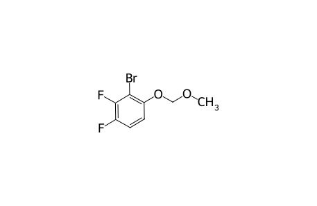 COCOc1ccc(F)c(F)c1Br